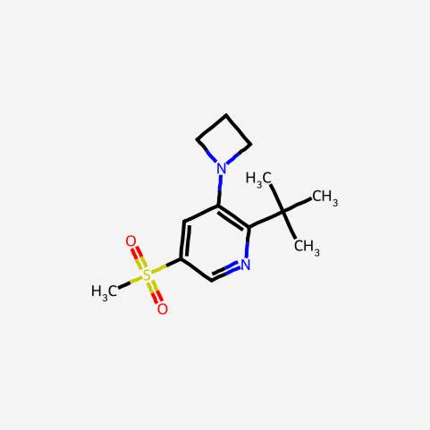 CC(C)(C)c1ncc(S(C)(=O)=O)cc1N1CCC1